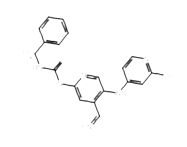 Cc1cc(Nc2cnc(NC(=O)N[C@H](C)c3ccccc3)cc2C=N)ccn1